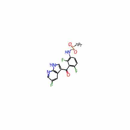 CCCS(=O)(=O)Nc1ccc(F)c(C(=O)c2c[nH]c3ncc(F)cc23)c1F